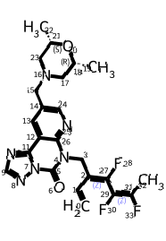 C=C/C(Cn1c(=O)n2ncnc2c2cc(CN3C[C@@H](C)O[C@@H](C)C3)cnc21)=C(F)\C(F)=C(/C)F